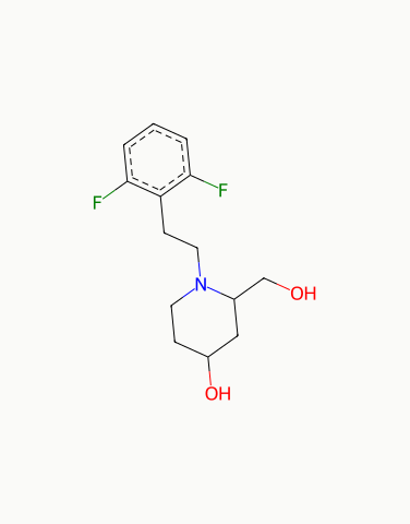 OCC1CC(O)CCN1CCc1c(F)cccc1F